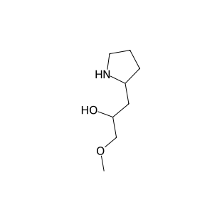 COCC(O)CC1CCCN1